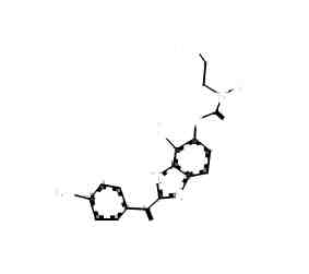 CCCN(CCC(=O)OCC)C(=O)Oc1ccc2[nH]c(C(=S)c3ccc(C#N)cc3)nc2c1C